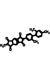 Cc1ccc(-c2ccc(N3C(=O)C4C5CCC(C6C(=O)N(C)C(=O)C56)C4C3=O)cc2C)c(C)c1